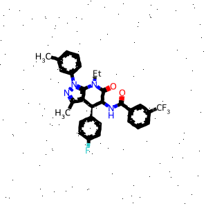 CCN1C(=O)C(NC(=O)c2cccc(C(F)(F)F)c2)[C@@H](c2ccc(F)cc2)c2c(C)nn(-c3cccc(C)c3)c21